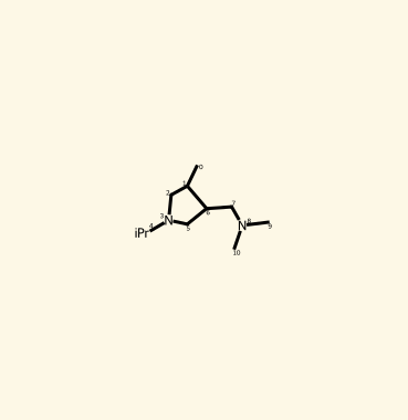 CC1CN(C(C)C)CC1CN(C)C